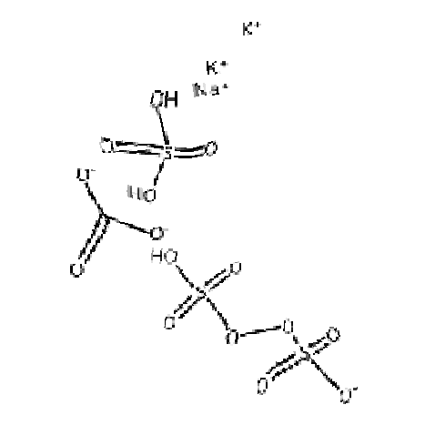 O=C([O-])[O-].O=S(=O)(O)O.O=S(=O)([O-])OOS(=O)(=O)O.[K+].[K+].[Na+]